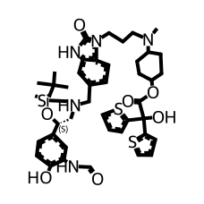 CN(CCCn1c(=O)[nH]c2cc(CNC[C@@H](O[Si](C)(C)C(C)(C)C)c3ccc(O)c(NC=O)c3)ccc21)C1CCC(OC(=O)C(O)(c2cccs2)c2cccs2)CC1